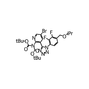 CC(C)OCc1ccc(-n2nnnc2-c2cc(Br)cnc2N(C(=O)OC(C)(C)C)C(=O)OC(C)(C)C)c(F)c1F